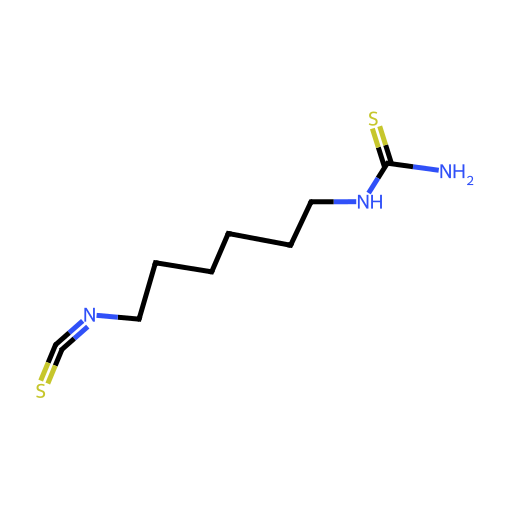 NC(=S)NCCCCCCN=C=S